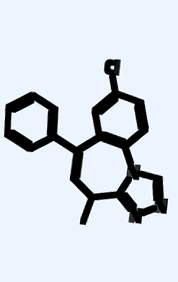 CC1C=C(c2ccccc2)c2cc(Cl)ccc2-n2cnnc21